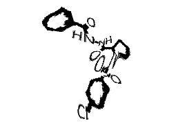 O=C(NNC(=O)C1CCCN1S(=O)(=O)c1ccc(Cl)cc1)c1ccccc1